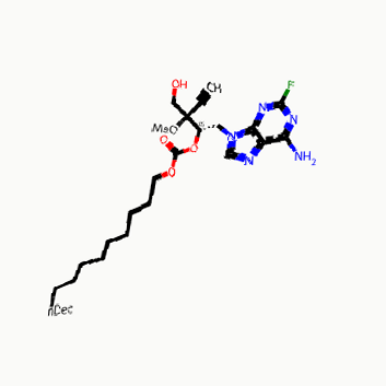 C#CC(CO)(OC)[C@H](Cn1cnc2c(N)nc(F)nc21)OC(=O)OCCCCCCCCCCCCCCCCCCC